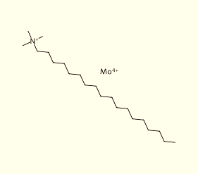 CCCCCCCCCCCCCCCCCC[N+](C)(C)C.[Mo+4]